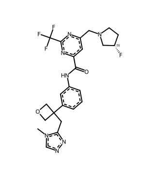 Cn1cnnc1CC1(c2cccc(NC(=O)c3cc(CN4CC[C@H](F)C4)nc(C(F)(F)F)n3)c2)COC1